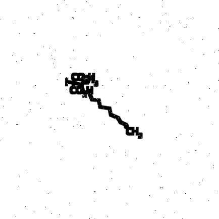 C=CCCCCCCCCCC(C)C(I)(C(=O)O)C(=O)O